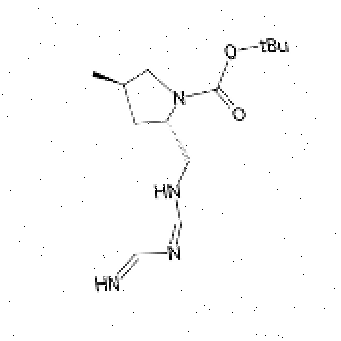 C[C@@H]1C[C@@H](CN/C=N\C=N)N(C(=O)OC(C)(C)C)C1